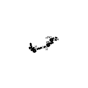 C=CCCC(C(=C)C)C1C(=C)c2cccc(NCCCCCOCCNc3ccc(/C=C/C(=C)c4cc(CN5CCN(C)CC5)c(OCCC)cc4O)c(Cl)c3)c2C1=C